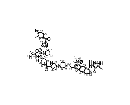 CNC(C)C(=O)NC(C(=O)N1CCC[C@H]1c1nc(C(=O)c2ccc(F)cc2)cs1)C1CCN(C(=O)c2cnc(N3CCN(CCCOc4cc5ncnc(Nc6n[nH]c(C)c6C)c5cc4S(=O)(=O)C(C)(C)C)CC3)cn2)CC1